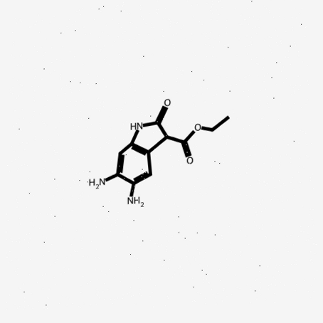 CCOC(=O)C1C(=O)Nc2cc(N)c(N)cc21